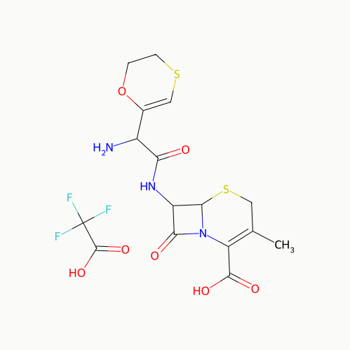 CC1=C(C(=O)O)N2C(=O)C(NC(=O)C(N)C3=CSCCO3)C2SC1.O=C(O)C(F)(F)F